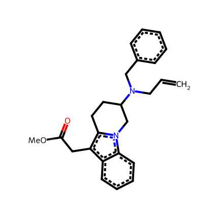 C=CCN(Cc1ccccc1)C1CCc2c(CC(=O)OC)c3ccccc3n2C1